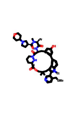 CCn1c(-c2cnccc2COC)c2c3cc(ccc31)-c1cc(O)cc(c1)C[C@H](NC(=O)[C@H](C(C)C)N(C)C(=O)[C@H]1CCN(C3CCOCC3)C1)C(=O)N1CCC[C@H](N1)C(=O)OCC(C)(C)C2